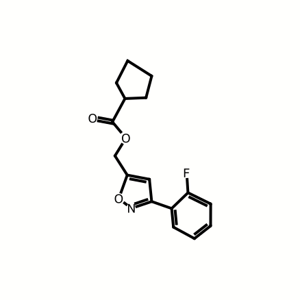 O=C(OCc1cc(-c2ccccc2F)no1)C1CCCC1